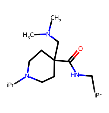 CC(C)CNC(=O)C1(CN(C)C)CCN(C(C)C)CC1